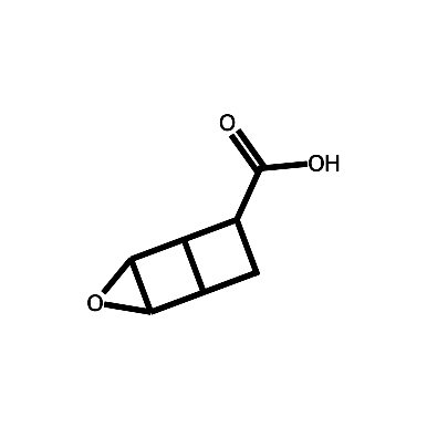 O=C(O)C1CC2C3OC3C12